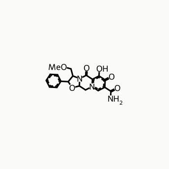 COCC1C(c2ccccc2)OC2Cn3cc(C(N)=O)c(=O)c(O)c3C(=O)N21